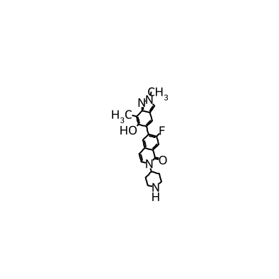 Cc1c(O)c(-c2cc3ccn(C4CCNCC4)c(=O)c3cc2F)cc2cn(C)nc12